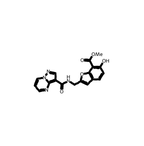 COC(=O)c1c(O)ccc2cc(CNC(=O)c3cnn4cccnc34)oc12